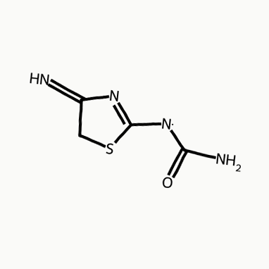 N=C1CSC([N]C(N)=O)=N1